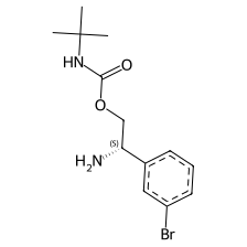 CC(C)(C)NC(=O)OC[C@@H](N)c1cccc(Br)c1